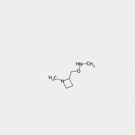 CNOCC1CCN1C